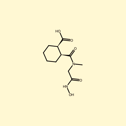 CN(CC(=O)NO)C(=O)[C@H]1CCCC[C@H]1C(=O)O